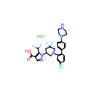 Cl.O=C(O)c1cnn(C2CN(c3cc(Cl)ccc3-c3ccc(N4CCNCC4)cc3)CC(F)(F)C2)c1C(F)F